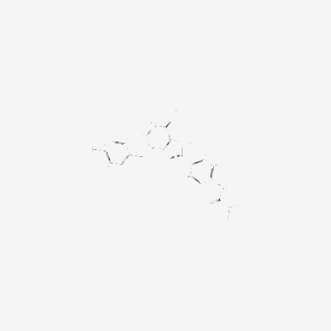 CC(C)C(=O)Nc1ccc(-c2cc3c(s2)c(=O)ncn3Cc2ccc(Cl)cc2)cc1F